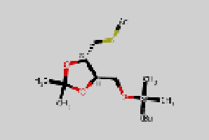 CC(=O)SC[C@H]1OC(C)(C)O[C@@H]1CO[Si](C)(C)C(C)(C)C